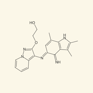 CC1=CC(=Nc2c(OCCO)nn3ccccc23)C(=N)c2c1[nH]c(C)c2C